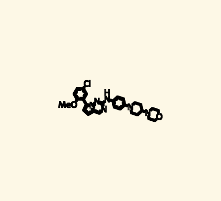 COc1ccc(Cl)cc1-c1ccc2cnc(Nc3ccc(N4CCC(N5CCOCC5)CC4)cc3)nn12